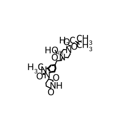 Cn1c(=O)n(C2CCC(=O)NC2=O)c2ccc(CCN3CCN(C(=O)OC(C)(C)C)C[C@H]3C(=O)O)cc21